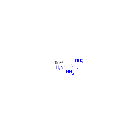 [NH2-].[NH2-].[NH2-].[NH2-].[Ru+4]